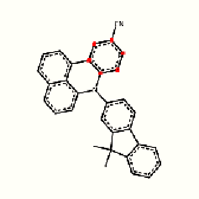 CC1(C)c2ccccc2-c2ccc(N(c3ccc(C#N)cc3)c3cccc4cccc(-c5ccccc5)c34)cc21